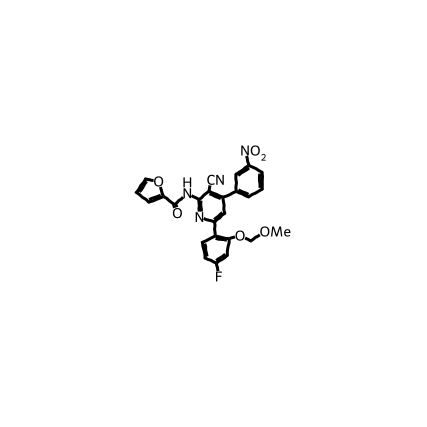 COCOc1cc(F)ccc1-c1cc(-c2cccc([N+](=O)[O-])c2)c(C#N)c(NC(=O)c2ccco2)n1